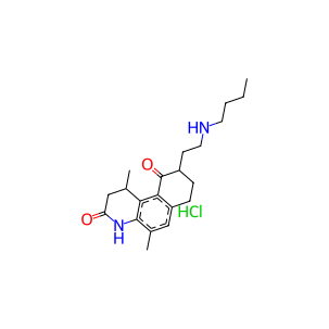 CCCCNCCC1CCc2cc(C)c3c(c2C1=O)C(C)CC(=O)N3.Cl